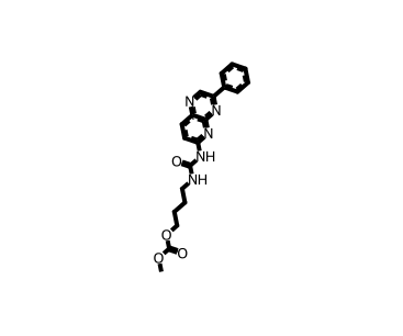 COC(=O)OCCCCNC(=O)Nc1ccc2ncc(-c3ccccc3)nc2n1